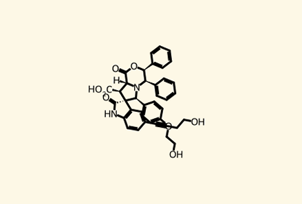 O=C1O[C@@H](c2ccccc2)[C@@H](c2ccccc2)N2[C@@H](c3ccc(OCCO)cc3)[C@]3(C(=O)Nc4ccc(C#CCCO)cc43)[C@@H](C(=O)O)[C@H]12